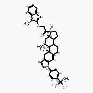 Cn1c(SCC(=O)[C@@]2(O)CCC3C4CCC5=Cc6c(cnn6-c6ccc(C(C)(C)C)cc6)CC5(C)C4[C@@H](O)CC32C)nc2ccccc21